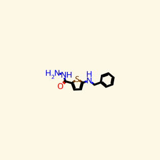 NNC(=O)c1ccc(NCc2ccccc2)s1